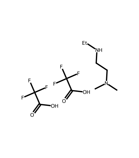 CCNCCN(C)C.O=C(O)C(F)(F)F.O=C(O)C(F)(F)F